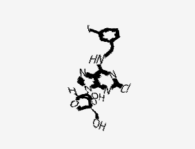 OC[C@@]12CO[C@@H](C1O)[C@H](n1cnc3c(NCc4cccc(I)c4)nc(Cl)nc31)O2